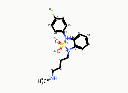 CNCCCCN1c2ccccc2N(c2ccc(F)cc2)S1(=O)=O